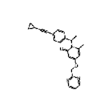 Cc1cc(OCc2ncccn2)cc(=O)n1[C@H](C)c1ccc(C#CC2CC2)cc1